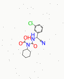 N#CC(NC(=O)N(C(=O)O)C1CCCCC1)c1cccc(Cl)c1